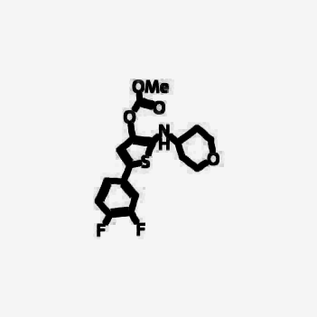 COC(=O)Oc1cc(-c2ccc(F)c(F)c2)sc1NC1CCOCC1